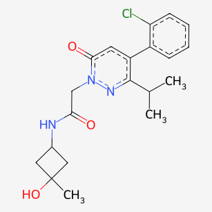 CC(C)c1nn(CC(=O)NC2CC(C)(O)C2)c(=O)cc1-c1ccccc1Cl